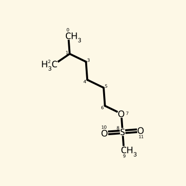 CC(C)CCCCOS(C)(=O)=O